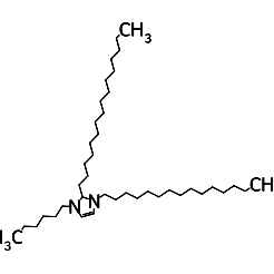 CCCCCCCCCCCCCCCCC1N(CCCCCC)C=CN1CCCCCCCCCCCCCCC